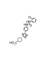 O=C(Nc1ccc(-c2noc([C@H]3CC[C@H](C(=O)O)CC3)n2)cc1)Nc1ccccc1Cl